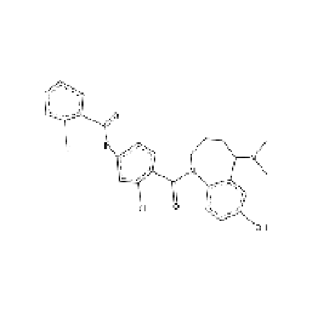 CN(C)C1CCCN(C(=O)c2ccc(NC(=O)c3ccccc3Cl)cc2Cl)c2ccc(O)cc21